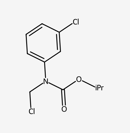 CC(C)OC(=O)N(CCl)c1cccc(Cl)c1